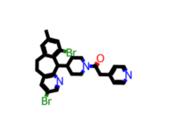 Cc1cc(Br)c2c(c1)CCc1cc(Br)cnc1C2C1CCN(C(=O)Cc2ccncc2)CC1